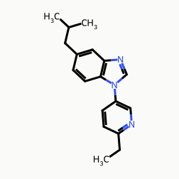 CCc1ccc(-n2cnc3cc(CC(C)C)ccc32)cn1